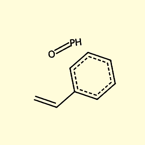 C=Cc1ccccc1.O=P